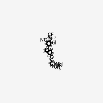 CS(=O)(=O)Nc1nccc(COc2ccc3c(ccn3-c3cc(Cl)c(OCC(F)(F)F)c(C#N)c3)c2)n1